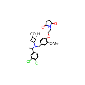 COc1cc(CN(C2CC(C(=O)O)C2)[C@H](C)c2ccc(Cl)c(Cl)c2)ccc1OCCN1C(=O)CCC1=O